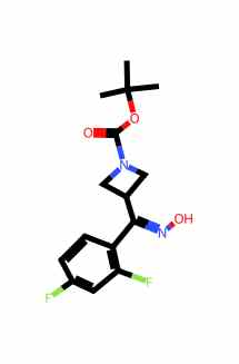 CC(C)(C)OC(=O)N1CC(/C(=N\O)c2ccc(F)cc2F)C1